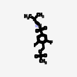 CN(C)/C=N/S(=O)(=O)c1cc(F)c(COS(C)(=O)=O)c(F)c1